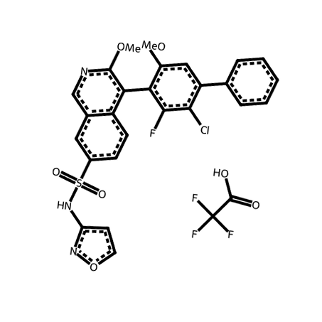 COc1cc(-c2ccccc2)c(Cl)c(F)c1-c1c(OC)ncc2cc(S(=O)(=O)Nc3ccon3)ccc12.O=C(O)C(F)(F)F